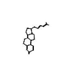 CC(C)=C/C=C/[C@@H](C)C1CCC2C3CCC4=CC(=O)CC[C@]4(C)C3CC[C@@]21C